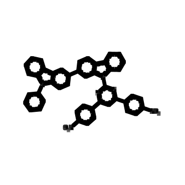 O=[N+]([O-])c1ccc(-c2cc(-c3ccc([N+](=O)[O-])cc3)nc(-n3c4ccccc4c4ccc(-c5ccc6c(c5)c5ccccc5n6-c5ccccc5)cc43)n2)cc1